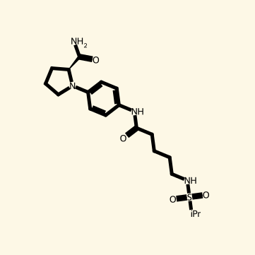 CC(C)S(=O)(=O)NCCCCC(=O)Nc1ccc(N2CCC[C@H]2C(N)=O)cc1